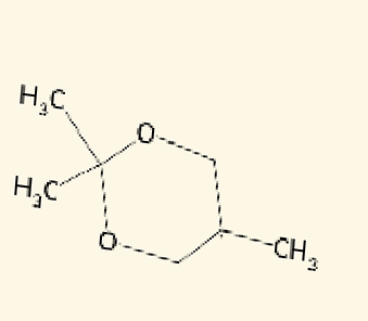 C[C]1COC(C)(C)OC1